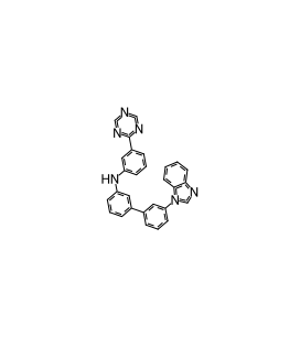 c1cc(Nc2cccc(-c3ncncn3)c2)cc(-c2cccc(-n3cnc4ccccc43)c2)c1